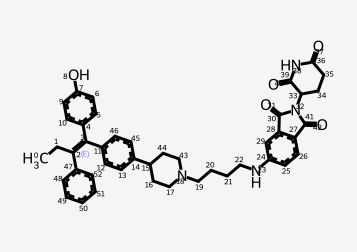 CC/C(=C(\c1ccc(O)cc1)c1ccc(C2CCN(CCCCNc3ccc4c(c3)C(=O)N(C3CCC(=O)NC3=O)C4=O)CC2)cc1)c1ccccc1